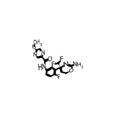 COc1cnc(C(=O)Nc2ccc(F)c([C@]3(C(F)F)CCOC(N)=N3)c2)cn1